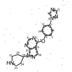 c1nc(Oc2ccc(-n3cncn3)cc2)c2cnn(C3CCNCC3)c2n1